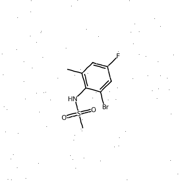 Cc1cc(F)cc(Br)c1NS(C)(=O)=O